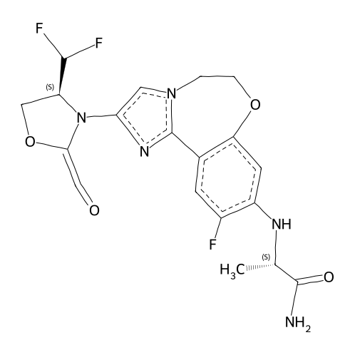 C[C@H](Nc1cc2c(cc1F)-c1nc(N3C(=C=O)OC[C@H]3C(F)F)cn1CCO2)C(N)=O